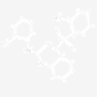 Cc1ccccc1NC(=O)Nc1ccccc1OS(=O)(=O)c1ccccc1C